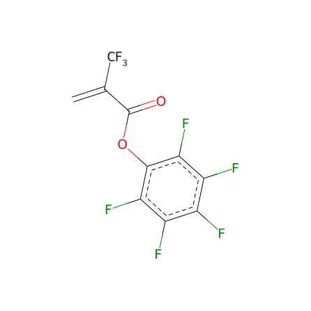 C=C(C(=O)Oc1c(F)c(F)c(F)c(F)c1F)C(F)(F)F